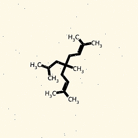 CC(C)=CCC(C)(CC=C(C)C)CC(C)C